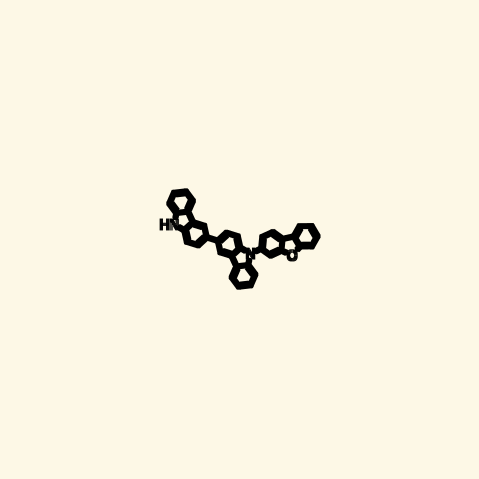 c1ccc2c(c1)[nH]c1ccc(-c3ccc4c(c3)c3ccccc3n4-c3ccc4c(c3)oc3ccccc34)cc12